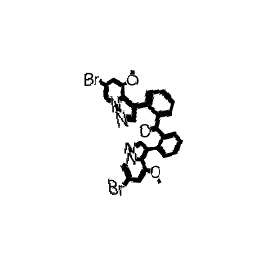 COc1cc(Br)cn2ncc(-c3ccccc3C(=O)c3ccccc3-c3cnn4cc(Br)cc(OC)c34)c12